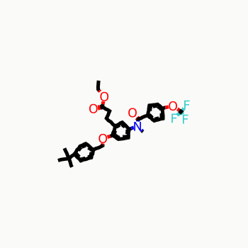 CCOC(=O)CCc1cc(N(C)C(=O)c2ccc(OC(F)(F)F)cc2)ccc1OCc1ccc(C(C)(C)C)cc1